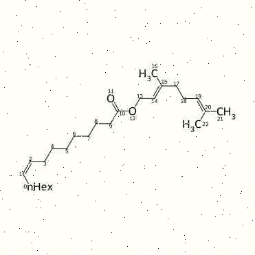 CCCCCC/C=C\CCCCCCCC(=O)OC/C=C(\C)CCC=C(C)C